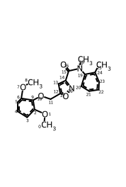 COc1cccc(OC)c1OCc1cc(C(=O)N(C)c2ccccc2C)no1